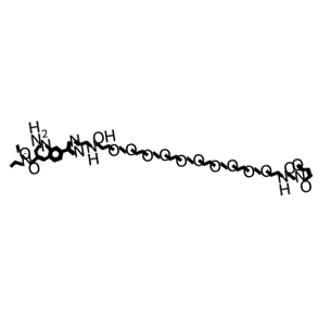 CCCN(OCC)C(=O)C1=Cc2ccc(-c3cnc(CNC(O)CCOCCOCCOCCOCCOCCOCCOCCOCCOCCOCCNC(=O)CN4C(=O)C=CC4=O)nc3)cc2N=C(N)C1